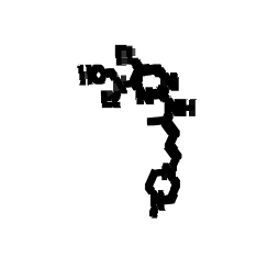 CCc1cnc(N/C(C)=C/C=C/N2CCN(C)CC2)nc1N(CC)CO